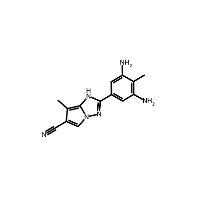 Cc1c(N)cc(-c2nn3cc(C#N)c(C)c3[nH]2)cc1N